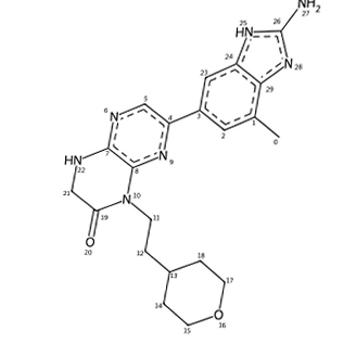 Cc1cc(-c2cnc3c(n2)N(CCC2CCOCC2)C(=O)CN3)cc2[nH]c(N)nc12